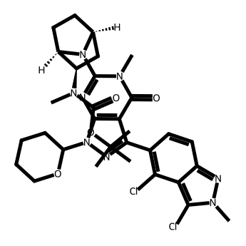 CN(C(=O)OC(C)(C)C)[C@@H]1C[C@@H]2CC[C@H]1N2c1nc2c(c(-c3ccc4nn(C)c(Cl)c4c3Cl)nn2C2CCCCO2)c(=O)n1C